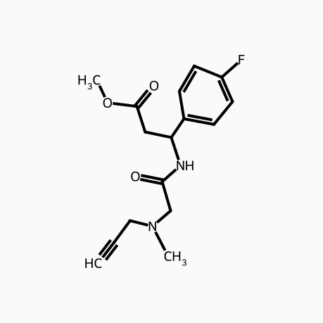 C#CCN(C)CC(=O)NC(CC(=O)OC)c1ccc(F)cc1